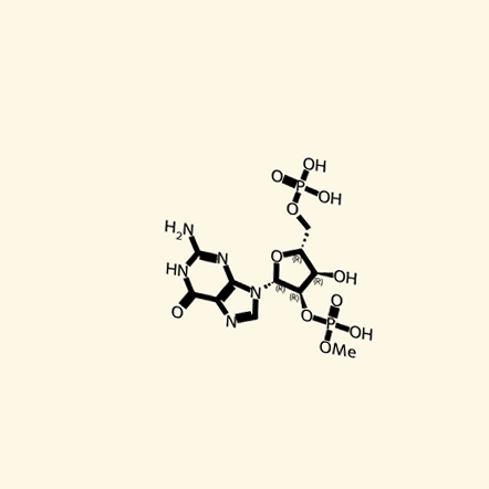 COP(=O)(O)O[C@@H]1[C@H](O)[C@@H](COP(=O)(O)O)O[C@H]1n1cnc2c(=O)[nH]c(N)nc21